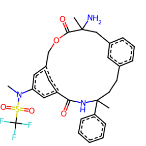 CN(c1cc2cc(c1)C(=O)NC(C)(c1ccccc1)CCc1cccc(c1)CC(C)(N)C(=O)OC2)S(=O)(=O)C(F)(F)F